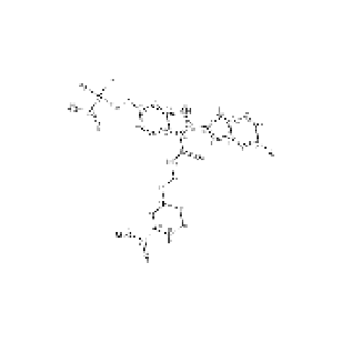 COC(=O)[C@@H]1CN(CCNC(=O)c2c(-c3cc4cc(Cl)ccc4[nH]3)[nH]c3cc(Br)ccc23)CCN1.O=C(O)C(F)(F)F